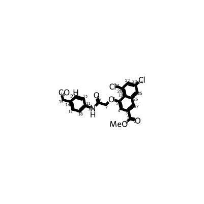 COC(=O)c1cc(OCC(=O)Nc2ccc(CC(=O)O)cc2)c2c(Cl)cc(Cl)cc2c1